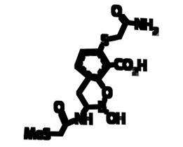 CSCC(=O)NC1Cc2ccc(SCC(N)=O)c(C(=O)O)c2OB1O